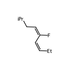 CC/C=C\C(F)=C/CC(C)C